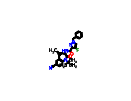 BC(B)(B)N1C(=O)[C@@H](NC(=O)c2nn(Cc3ccccc3)cc2F)C2C(C)C2c2cc(C#N)ccc21